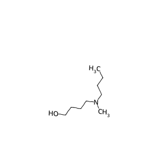 CCCCN(C)CCCCO